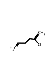 C=C[CH]CC(=C)Cl